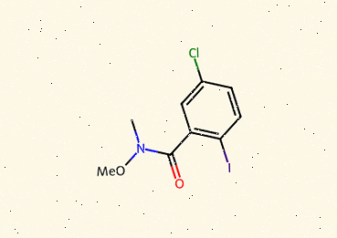 CON(C)C(=O)c1cc(Cl)ccc1I